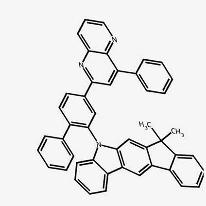 CC1(C)c2ccccc2-c2cc3c4ccccc4n(-c4cc(-c5cc(-c6ccccc6)c6ncccc6n5)ccc4-c4ccccc4)c3cc21